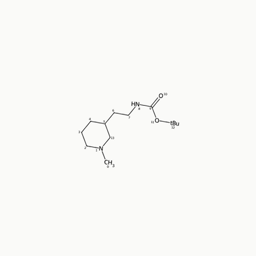 CN1CCCC(CCNC(=O)OC(C)(C)C)C1